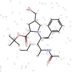 CCC[C@@H](C(C)NC(C)=O)[C@H](Cc1ccccc1)N1CC(CO)CC1C(=O)OC(C)(C)C